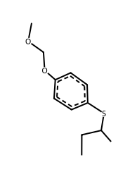 CCC(C)Sc1ccc(OCOC)cc1